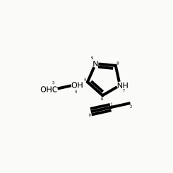 C#CC.O=CO.c1c[nH]cn1